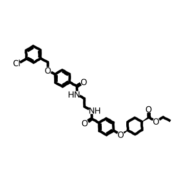 CCOC(=O)[C@H]1CC[C@@H](Oc2ccc(C(=O)NCCNC(=O)c3ccc(OCc4cccc(Cl)c4)cc3)cc2)CC1